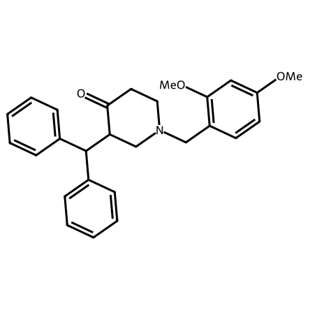 COc1ccc(CN2CCC(=O)C(C(c3ccccc3)c3ccccc3)C2)c(OC)c1